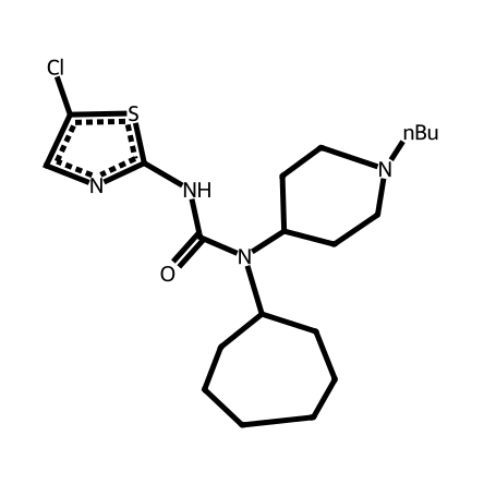 CCCCN1CCC(N(C(=O)Nc2ncc(Cl)s2)C2CCCCCC2)CC1